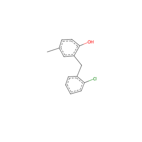 Cc1ccc(O)c(Cc2ccccc2Cl)c1